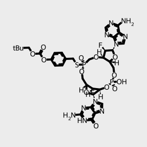 CC(C)(C)COC(=O)Oc1ccc(CSP2(=O)CO[C@H]3[C@@H](F)[C@H](n4cnc5c(N)ncnc54)O[C@@H]3COP(=O)(O)O[C@@H]3[C@H](F)[C@@H](CO2)O[C@H]3n2cnc3c(=O)[nH]c(N)nc32)cc1